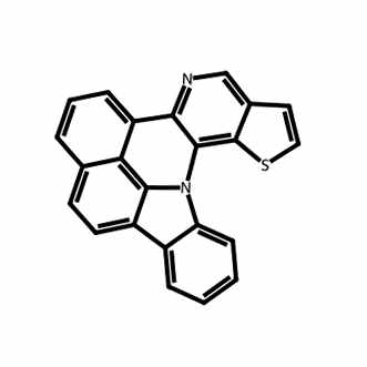 c1cc2ccc3c4ccccc4n4c5c(ncc6ccsc65)c(c1)c2c34